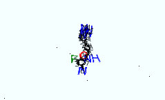 N#Cc1cc(F)cc(NC(=O)Cc2ccc(-c3ccn4ncnc4c3)cc2)c1